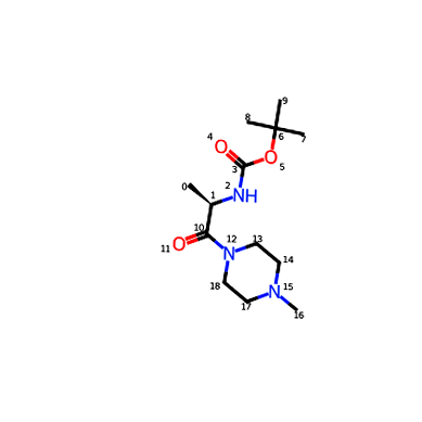 C[C@@H](NC(=O)OC(C)(C)C)C(=O)N1CCN(C)CC1